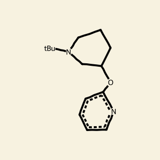 CC(C)(C)N1CCCC(Oc2ccccn2)C1